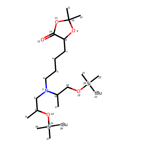 CC(CN(CCCCC1OC(C)(C)OC1=O)C(C)CO[Si](C)(C)C(C)(C)C)O[Si](C)(C)C(C)(C)C